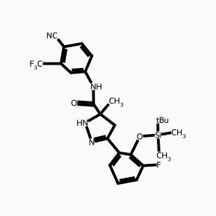 CC1(C(=O)Nc2ccc(C#N)c(C(F)(F)F)c2)CC(c2cccc(F)c2O[Si](C)(C)C(C)(C)C)=NN1